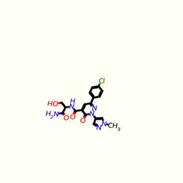 Cn1cc(-n2nc(-c3ccc(Cl)cc3)cc(C(=O)NC(CO)C(N)=O)c2=O)cn1